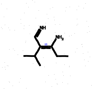 CC/C(N)=C(/C=N)C(C)C